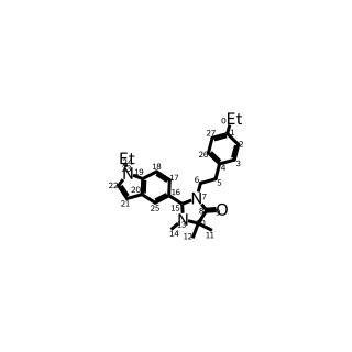 CCc1ccc(CCN2C(=O)C(C)(C)N(C)C2c2ccc3c(ccn3CC)c2)cc1